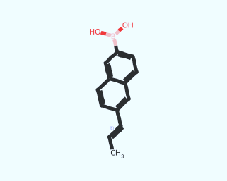 C/C=C/c1ccc2cc(B(O)O)ccc2c1